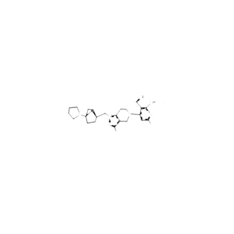 CNc1nc(C)cc(N2CCc3c(c(C)nn3CC34CCC(N5CCCC5)(CC3)C4)C2)c1C=N